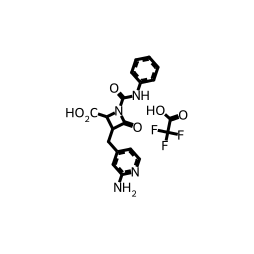 Nc1cc(CC2C(=O)N(C(=O)Nc3ccccc3)C2C(=O)O)ccn1.O=C(O)C(F)(F)F